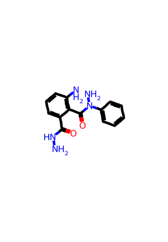 NNC(=O)c1cccc(N)c1C(=O)N(N)c1ccccc1